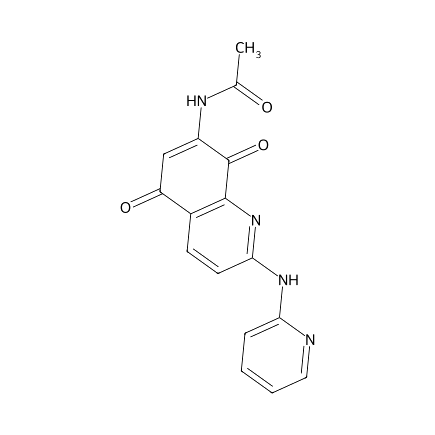 CC(=O)NC1=CC(=O)c2ccc(Nc3ccccn3)nc2C1=O